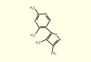 Cc1n[c]c(-c2onc(C)c2C)c(C)n1